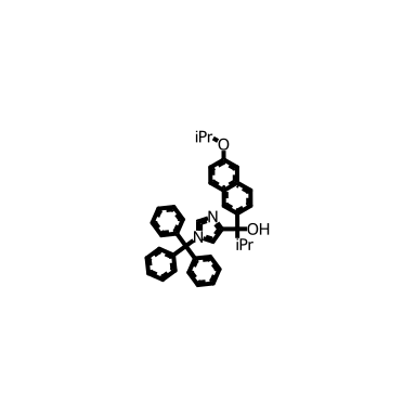 CC(C)Oc1ccc2cc(C(O)(c3cn(C(c4ccccc4)(c4ccccc4)c4ccccc4)cn3)C(C)C)ccc2c1